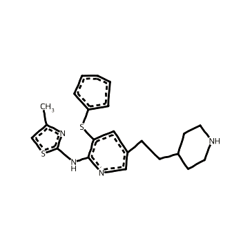 Cc1csc(Nc2ncc(CCC3CCNCC3)cc2Sc2ccccc2)n1